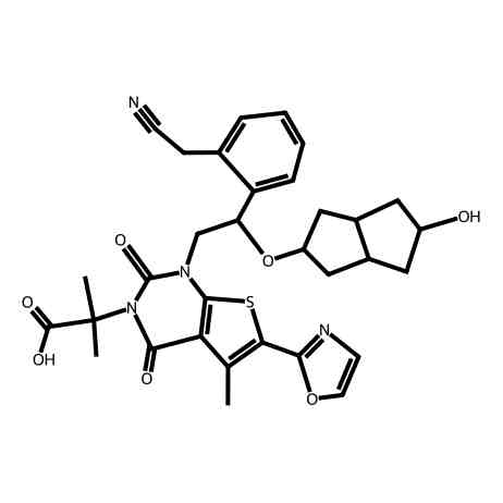 Cc1c(-c2ncco2)sc2c1c(=O)n(C(C)(C)C(=O)O)c(=O)n2CC(OC1CC2CC(O)CC2C1)c1ccccc1CC#N